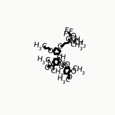 CCCOc1cc(OCCCC(OC(=O)C(F)(F)F)[N+](C)(C)C)cc(Oc2cc3c(cc2NS(=O)(=O)c2ccc(OC)c(OC)c2)n(C)c(=O)n3C)c1